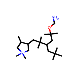 CC1C[N+](C)(C)CC1CC(C)(C)C(CC(C)(C)C)CC(C)(C)OCN